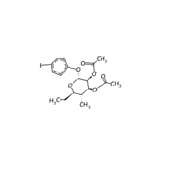 CC[C@H]1O[C@H](Oc2ccc(I)cc2)[C@@H](OC(C)=O)[C@@H](OC(C)=O)[C@@H]1C